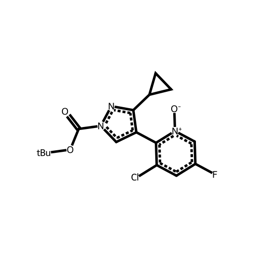 CC(C)(C)OC(=O)n1cc(-c2c(Cl)cc(F)c[n+]2[O-])c(C2CC2)n1